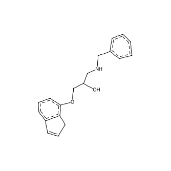 OC(CNCc1ccccc1)COc1cccc2c1CC=C2